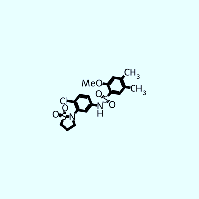 COc1cc(C)c(C)cc1S(=O)(=O)Nc1ccc(Cl)c(N2CCCS2(=O)=O)c1